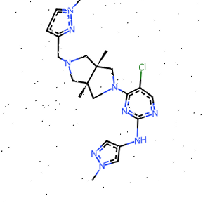 Cn1cc(Nc2ncc(Cl)c(N3C[C@]4(C)CN(Cc5ccn(C)n5)C[C@]4(C)C3)n2)cn1